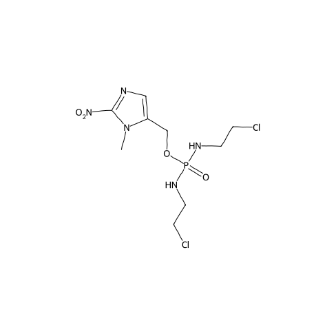 Cn1c(COP(=O)(NCCCl)NCCCl)cnc1[N+](=O)[O-]